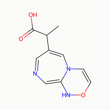 CC(C(=O)O)c1cncc2[nH]occn-2c1